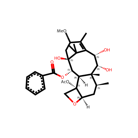 COC1C[C@@]2(O)[C@@H](OC(=O)c3ccccc3)[C@@H]3[C@]4(OC(C)=O)CO[C@@H]4C[C@H](C)[C@@]3(C)[C@@H](O)[C@@H](O)C(=C1C)C2(C)C